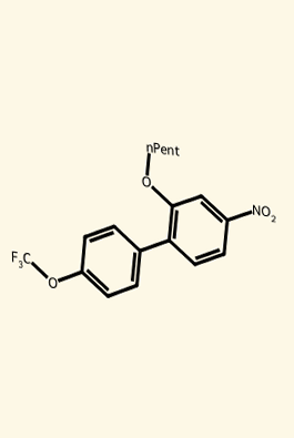 CCCCCOc1cc([N+](=O)[O-])ccc1-c1ccc(OC(F)(F)F)cc1